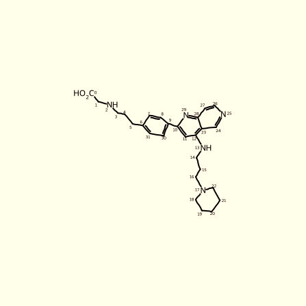 O=C(O)CNCCCc1ccc(-c2cc(NCCCN3CCCCC3)c3cnccc3n2)cc1